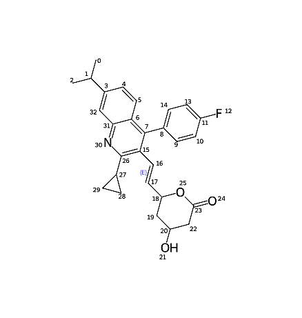 CC(C)c1ccc2c(-c3ccc(F)cc3)c(/C=C/C3CC(O)CC(=O)O3)c(C3CC3)nc2c1